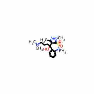 Cc1nn(C)c2c1C(O)(CCCN(C)C)c1ccccc1N(C)S2(=O)=O